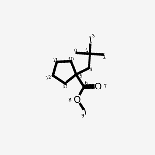 CC(C)(I)CC1(C(=O)OI)CCCC1